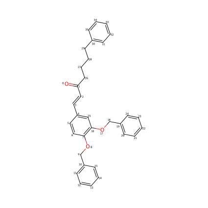 O=C(C=Cc1ccc(OCc2ccccc2)c(OCc2ccccc2)c1)CCCCc1ccccc1